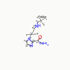 COC(C)(C)CNCC(C)(C)n1c[c]nc1C(N)=O